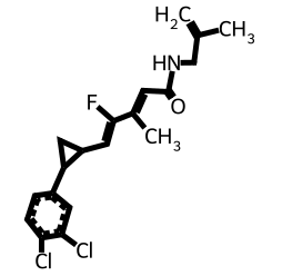 C=C(C)CNC(=O)/C=C(C)/C(F)=C/C1CC1c1ccc(Cl)c(Cl)c1